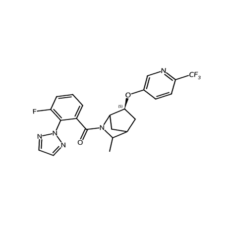 CC1C2CC([C@@H](Oc3ccc(C(F)(F)F)nc3)C2)N1C(=O)c1cccc(F)c1-n1nccn1